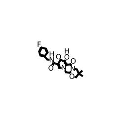 CC1(C)COC2Cn3cc(C(=O)NCc4ccc(F)cc4)c(=O)c(O)c3C(=O)N2C1